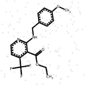 CCOC(=O)c1c(C(F)(F)F)ccnc1NCc1ccc(OC)cc1